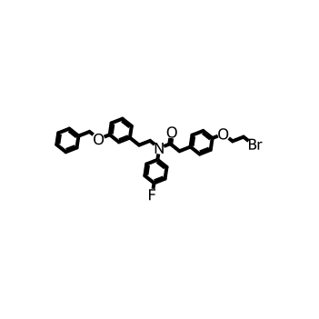 O=C(Cc1ccc(OCCBr)cc1)N(CCc1cccc(OCc2ccccc2)c1)c1ccc(F)cc1